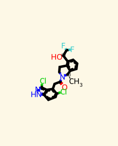 C[C@H]1c2cccc([C@H](O)C(F)F)c2CCN1C(=O)Cc1c(Cl)ccc2[nH]nc(Cl)c12